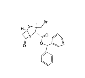 C[C@@]1(CBr)S[C@@H]2CC(=O)N2[C@H]1C(=O)OC(c1ccccc1)c1ccccc1